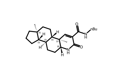 CCCCNC(=O)C1=C[C@@]2(C)[C@@H](CC[C@H]3[C@@H]4CCC[C@@]4(C)CC[C@@H]32)NC1=O